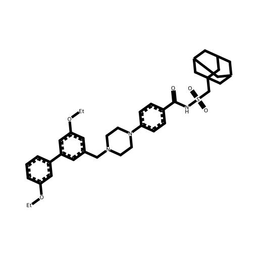 CCOc1cccc(-c2cc(CN3CCN(c4ccc(C(=O)NS(=O)(=O)CC56CC7CC(CC(C7)C5)C6)cc4)CC3)cc(OCC)c2)c1